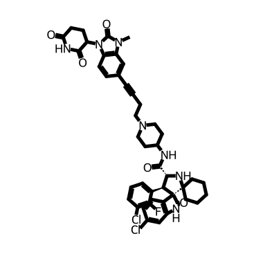 Cn1c(=O)n(C2CCC(=O)NC2=O)c2ccc(C#CCCN3CCC(NC(=O)[C@@H]4NC5(CCCCC5)[C@@]5(C(=O)Nc6cc(Cl)ccc65)[C@H]4c4cccc(Cl)c4F)CC3)cc21